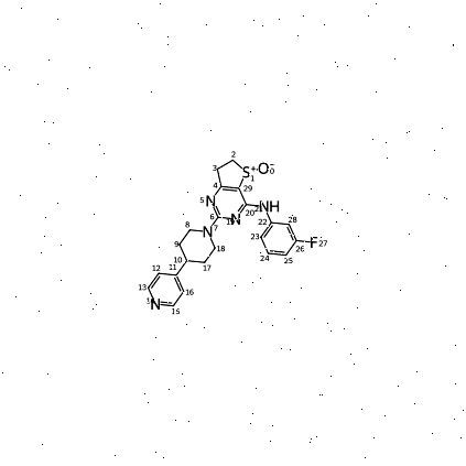 [O-][S+]1CCc2nc(N3CCC(c4ccncc4)CC3)nc(Nc3cccc(F)c3)c21